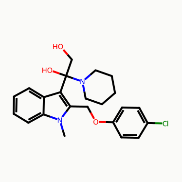 Cn1c(COc2ccc(Cl)cc2)c(C(O)(CO)N2CCCCC2)c2ccccc21